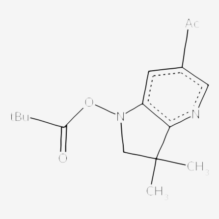 CC(=O)c1cnc2c(c1)N(OC(=O)C(C)(C)C)CC2(C)C